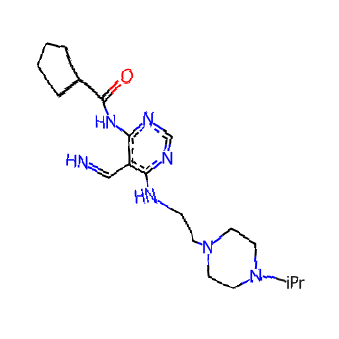 CC(C)N1CCN(CCNc2ncnc(NC(=O)C3CCCC3)c2C=N)CC1